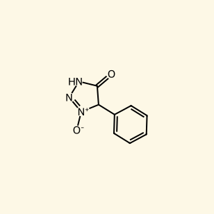 O=C1NN=[N+]([O-])C1c1ccccc1